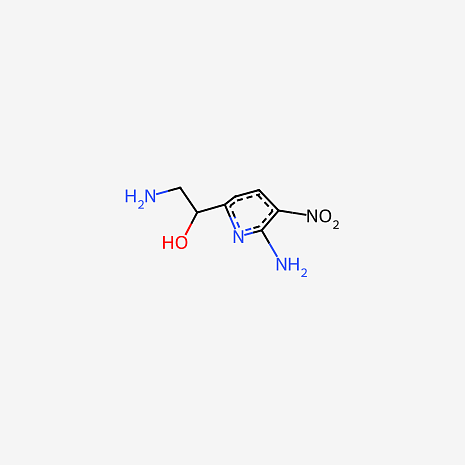 NCC(O)c1ccc([N+](=O)[O-])c(N)n1